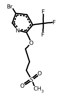 CS(=O)(=O)CCCOc1ncc(Br)cc1C(F)(F)F